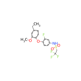 CCc1ccc(Oc2ccc(NS(=O)(=O)CC(F)(F)F)cc2F)c(OC)c1